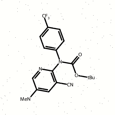 CNc1cnc(N(C(=O)OC(C)(C)C)c2ccc(C(F)(F)F)cc2)c(C#N)c1